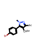 COc1c(C(C)=O)nn(C)c1-c1ccc(Br)cc1